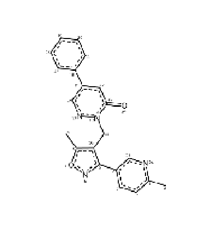 Cc1ccc(-c2noc(C)c2Cn2ncc(-c3ccccc3)cc2=O)cn1